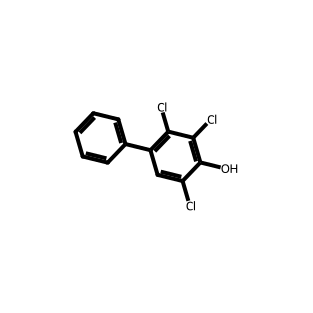 Oc1c(Cl)cc(-c2ccccc2)c(Cl)c1Cl